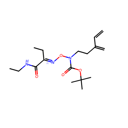 C=CC(=C)CCN(O/N=C(\CC)C(=O)NCC)C(=O)OC(C)(C)C